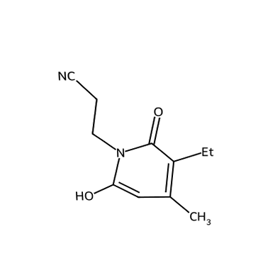 CCc1c(C)cc(O)n(CCC#N)c1=O